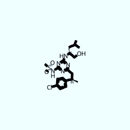 CC(C)C[C@H](CO)Nc1nc(C[C@@H](C)c2ccc(Cl)cc2)nc(NS(C)(=O)=O)n1